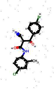 Cc1cc(Cl)ccc1NC(=O)C(C#N)C(=O)c1ccc(Br)cc1